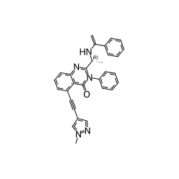 C=C(N[C@H](C)c1nc2cccc(C#Cc3cnn(C)c3)c2c(=O)n1-c1ccccc1)c1ccccc1